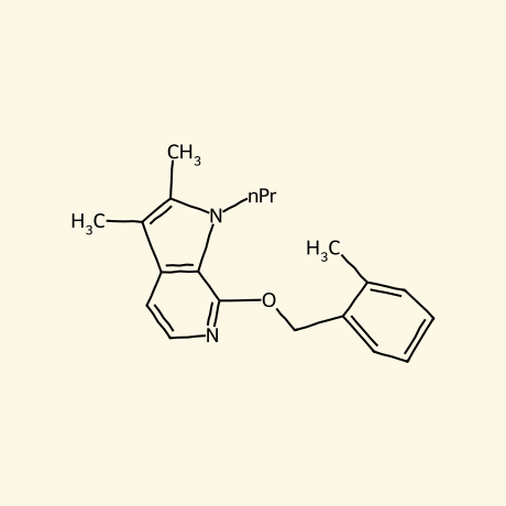 CCCn1c(C)c(C)c2ccnc(OCc3ccccc3C)c21